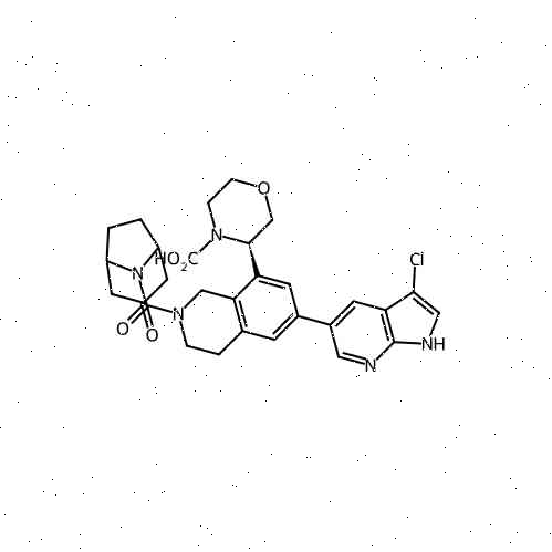 O=C1CC2CCC(C1)N2C(=O)N1CCc2cc(-c3cnc4[nH]cc(Cl)c4c3)cc([C@@H]3COCCN3C(=O)O)c2C1